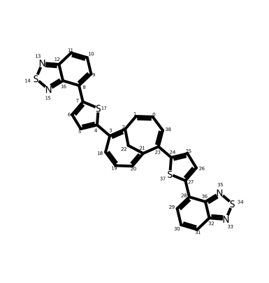 C1=CC2=C(c3ccc(-c4cccc5nsnc45)s3)C=CC=C(C2)C(c2ccc(-c3cccc4nsnc34)s2)=C1